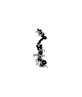 CCc1cc(Nc2ncc(Cl)c(Nc3ccccc3P(C)(C)=O)n2)c(OC)cc1N1CCC2(CCN(CCCC#Cc3cccc4c3CN(C3CCC(=O)NC3=O)C4=O)CC2)CC1